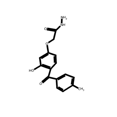 Cc1ccc(C(=O)c2ccc(OCC(=O)NN)cc2O)cc1